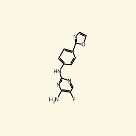 Nc1nc(Nc2ccc(-c3ncco3)cc2)ncc1F